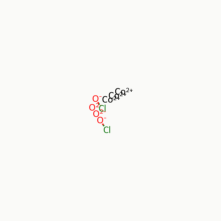 [Co+2].[Co+2].[Co+2].[O-2].[O-2].[O-]Cl.[O-]Cl